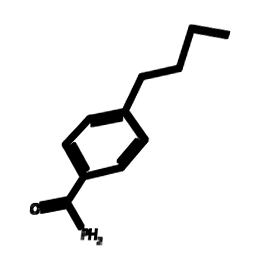 CCCCc1ccc(C(=O)P)cc1